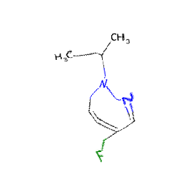 CC(C)n1cc(F)cn1